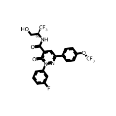 O=C(N[C@@H](CO)C(F)(F)F)c1cc(-c2ccc(OC(F)(F)F)cc2)nn(-c2cccc(F)c2)c1=O